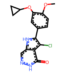 COc1ccc(-c2[nH]c3cn[nH]c(=O)c3c2Cl)cc1OC1CC1